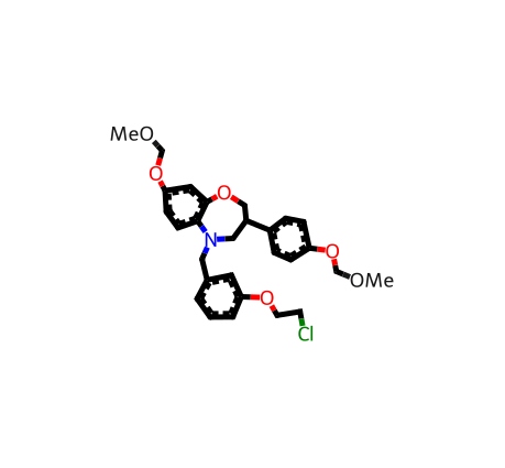 COCOc1ccc(C2COc3cc(OCOC)ccc3N(Cc3cccc(OCCCl)c3)C2)cc1